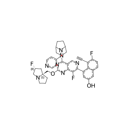 C#Cc1c(F)ccc2cc(O)cc(-c3ncc4c(N5CC6CCC(C5)N6Cc5ccncc5)nc(OC[C@@]56CCCN5C[C@H](F)C6)nc4c3F)c12